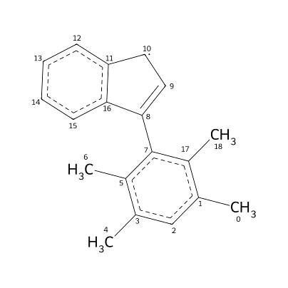 Cc1cc(C)c(C)c(C2=C[CH]c3ccccc32)c1C